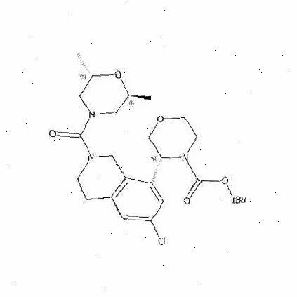 C[C@H]1CN(C(=O)N2CCc3cc(Cl)cc([C@@H]4COCCN4C(=O)OC(C)(C)C)c3C2)C[C@H](C)O1